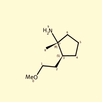 COCC[C@@H]1CCC[C@@]1(C)N